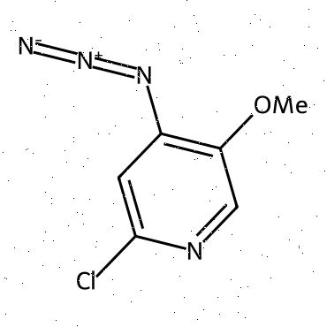 COc1cnc(Cl)cc1N=[N+]=[N-]